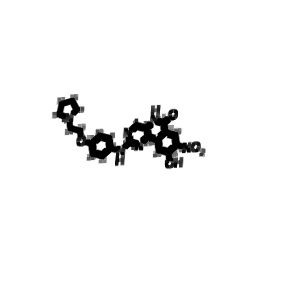 O=c1[nH]c2cnc(Nc3ccc(OCCN4CCCC4)cc3)nc2c2cc(O)c([N+](=O)[O-])cc12